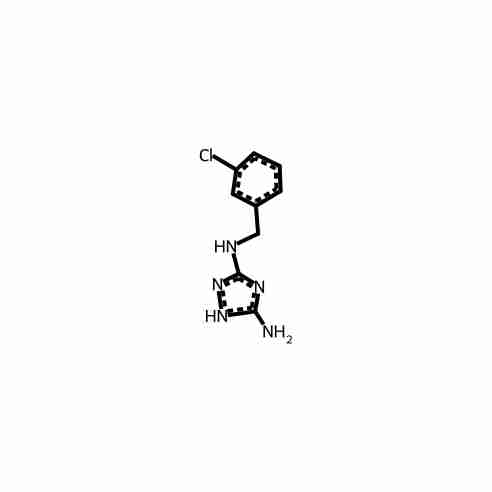 Nc1nc(NCc2cccc(Cl)c2)n[nH]1